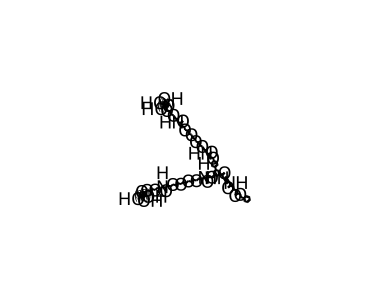 C[C@@H]1O[C@@H](OCCOCCNC(=O)CCOCCOCCOCCOCCNC(=O)COc2ccc(-c3cc(OCC(=O)NCCOCCOCCOCCOCCC(=O)NCCOCCO[C@@H]4O[C@@H](C)[C@H](O)[C@@H](O)[C@H]4O)cc(C(=O)NCCNC(=O)CCCC(=O)OCc4ccccc4)c3)cc2)[C@H](O)[C@H](O)[C@H]1O